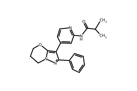 CC(C)C(=O)Nc1cc(-c2c(-c3ccccc3)nn3c2OCCC3)ccn1